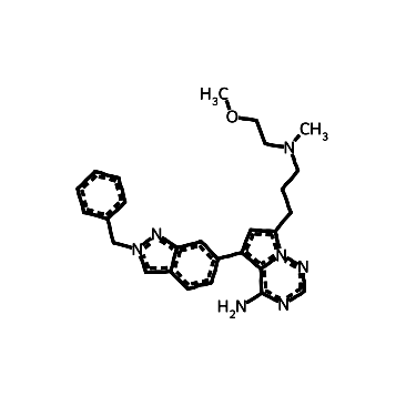 COCCN(C)CCCc1cc(-c2ccc3cn(Cc4ccccc4)nc3c2)c2c(N)ncnn12